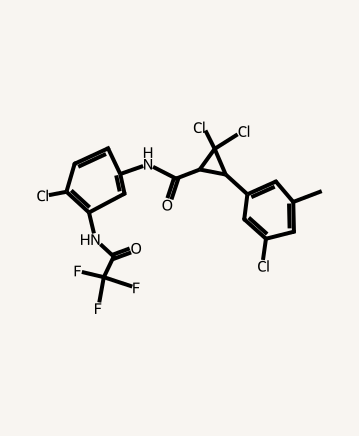 Cc1cc(Cl)cc(C2C(C(=O)Nc3ccc(Cl)c(NC(=O)C(F)(F)F)c3)C2(Cl)Cl)c1